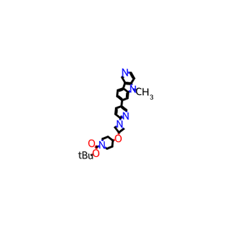 Cn1c2ccncc2c2ccc(-c3ccc(N4CC(OC5CCN(C(=O)OC(C)(C)C)CC5)C4)nc3)cc21